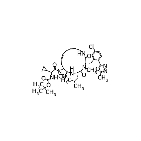 Cc1nnc(-c2ccc(Cl)cc2C[C@H]2C(=O)NCCCCC=CC[C@H](N(C)C(=O)[C@@H](NC(=O)OC(C)(C)C)C3CC3)C(=O)N[C@@H](CC(C)C)C(=O)N2C)o1